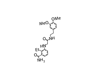 CCc1c(NCC(=O)NCCc2ccc(OC)c(OC)c2)cccc1C(N)=O